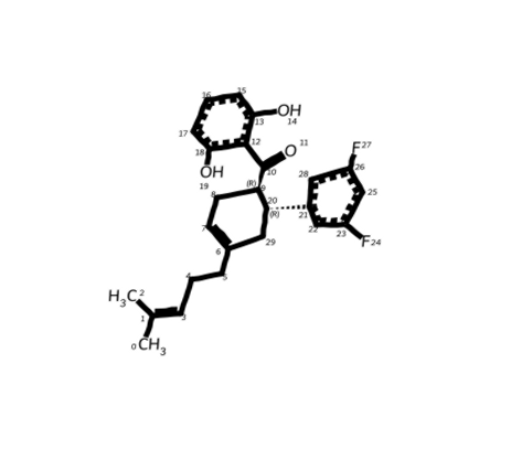 CC(C)=CCCC1=CC[C@@H](C(=O)c2c(O)cccc2O)[C@H](c2cc(F)cc(F)c2)C1